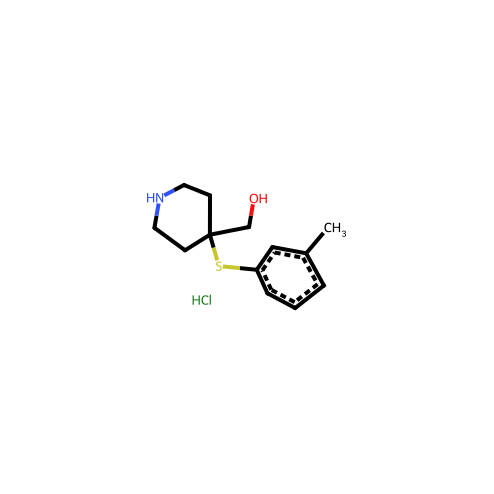 Cc1cccc(SC2(CO)CCNCC2)c1.Cl